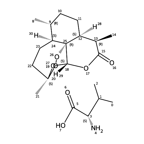 CC(C)[C@H](N)C(=O)O.C[C@@H]1CC[C@H]2[C@@H](C)C(=O)O[C@@H]3O[C@]4(C)CC[C@@H]1[C@]32OO4